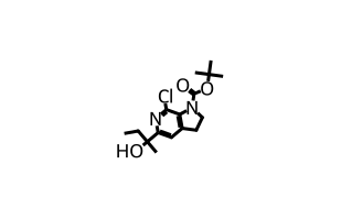 CCC(C)(O)c1cc2c(c(Cl)n1)N(C(=O)OC(C)(C)C)CC2